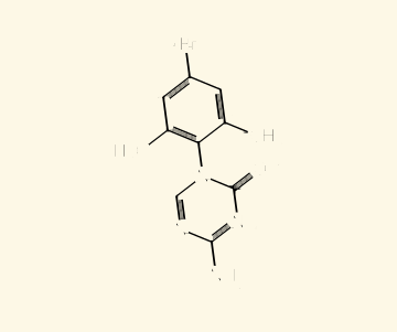 Cc1cc(Br)cc(C)c1-n1cnc(N)nc1=O